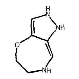 C1=C2NNC=C2OCCN1